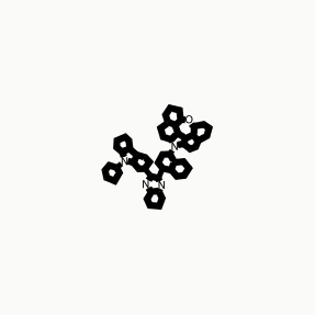 c1ccc(-n2c3ccccc3c3ccc(-c4nc5ccccc5nc4-c4ccc(-n5c6ccc7cccc8oc9cccc%10ccc5c(c%109)c6c78)c5ccccc45)cc32)cc1